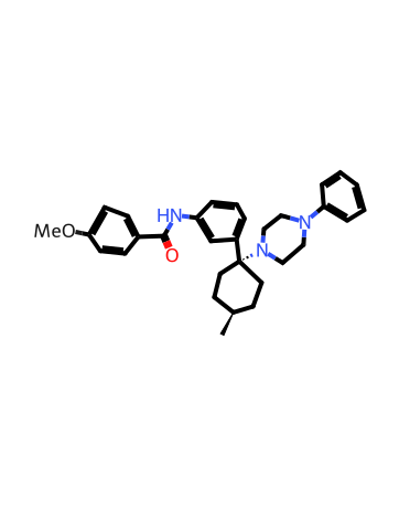 COc1ccc(C(=O)Nc2cccc([C@]3(N4CCN(c5ccccc5)CC4)CC[C@H](C)CC3)c2)cc1